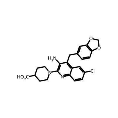 Nc1c(N2CCC(C(=O)O)CC2)nc2ccc(Cl)cc2c1Cc1ccc2c(c1)OCO2